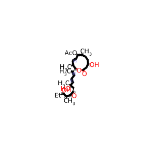 CC[C@@H](O)[C@@H](C)[C@H]1O[C@@H]1C[C@](C)(O)/C=C/C=C(\C)[C@H]1OC(=O)C[C@@H](O)CC[C@@H](C)[C@@H](OC(C)=O)/C=C/[C@@H]1C